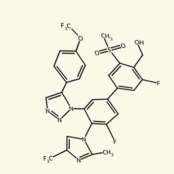 Cc1nc(C(F)(F)F)cn1-c1c(F)cc(-c2cc(F)c(CO)c(S(C)(=O)=O)c2)cc1-n1nncc1-c1ccc(OC(F)(F)F)cc1